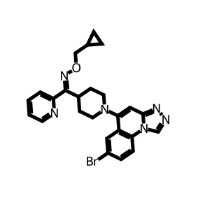 Brc1ccc2c(c1)c(N1CCC(/C(=N\OCC3CC3)c3ccccn3)CC1)cc1nncn12